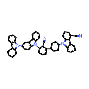 N#Cc1c(-c2ccc(-n3c4ccccc4c4c(C#N)cccc43)cc2)cccc1-n1c2ccccc2c2cc(-n3c4ccccc4c4ccccc43)ccc21